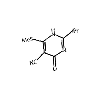 CSc1[nH]c(C(C)C)nc(=O)c1C#N